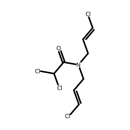 O=C(C(Cl)Cl)N(CC=CCl)CC=CCl